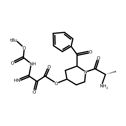 C[C@H](N)C(=O)N1CCC(OC(=O)C(=O)C(=N)NC(=O)OC(C)(C)C)CC1C(=O)c1ccccc1